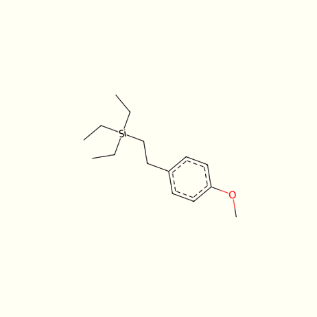 CC[Si](CC)(CC)CCc1ccc(OC)cc1